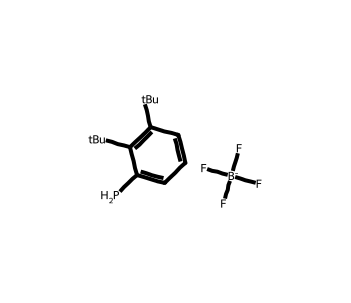 CC(C)(C)c1cccc(P)c1C(C)(C)C.F[B-](F)(F)F